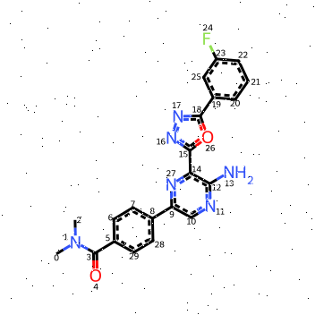 CN(C)C(=O)c1ccc(-c2cnc(N)c(-c3nnc(-c4cccc(F)c4)o3)n2)cc1